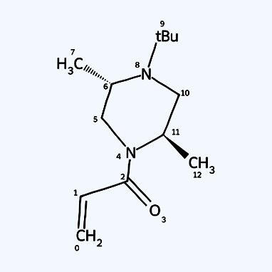 C=CC(=O)N1C[C@H](C)N(C(C)(C)C)C[C@H]1C